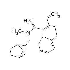 C=CC1=C(C(=C)N(C)CC2CC3CCC2C3)C2CC=CC=C2CC1